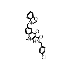 Cn1cc(C(=O)NCc2ccc(Cl)cc2)c(=O)c2cc(CN3CCOc4ccccc43)ccc21